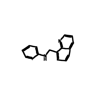 [c]1ccccc1NCc1cccc2cccnc12